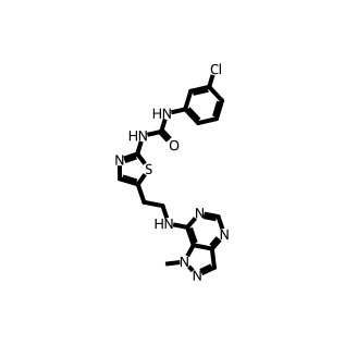 Cn1ncc2ncnc(NCCc3cnc(NC(=O)Nc4cccc(Cl)c4)s3)c21